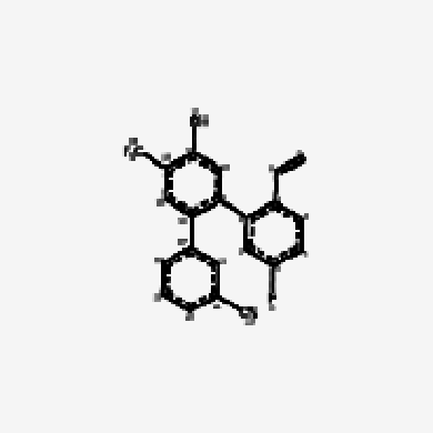 C=Cc1ccc(F)cc1-c1cc(O)c(C(F)(F)F)cc1-c1cccc(C#N)c1